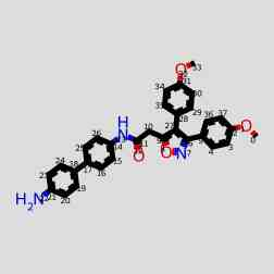 COc1ccc(-c2noc(CC(=O)Nc3ccc(-c4ccc(N)cc4)cc3)c2-c2ccc(OC)cc2)cc1